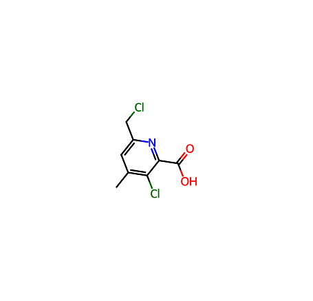 Cc1cc(CCl)nc(C(=O)O)c1Cl